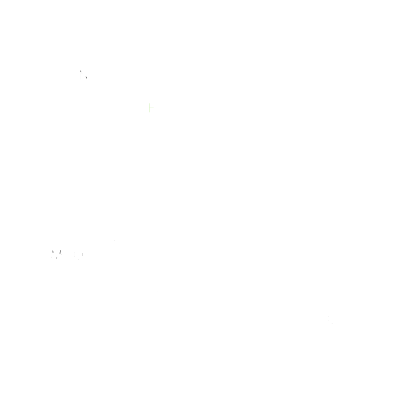 CO[C@]1(CCC=C(F)C#N)CC[C@H](c2ccc(C(F)(F)F)cc2)CC1